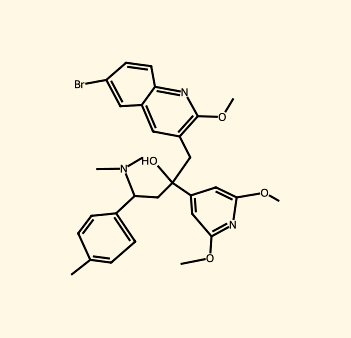 COc1cc(C(O)(Cc2cc3cc(Br)ccc3nc2OC)CC(c2ccc(C)cc2)N(C)C)cc(OC)n1